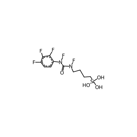 O=C(N(F)CCCC[Si](O)(O)O)N(F)c1ccc(F)c(F)c1F